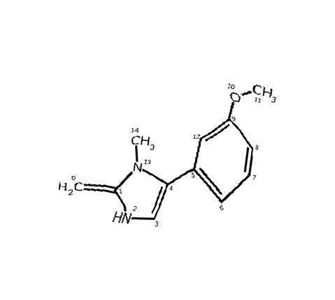 C=C1NC=C(c2cccc(OC)c2)N1C